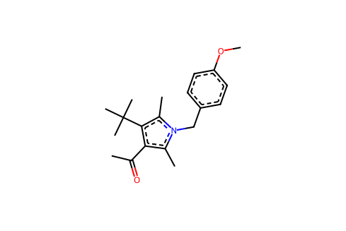 COc1ccc(Cn2c(C)c(C(C)=O)c(C(C)(C)C)c2C)cc1